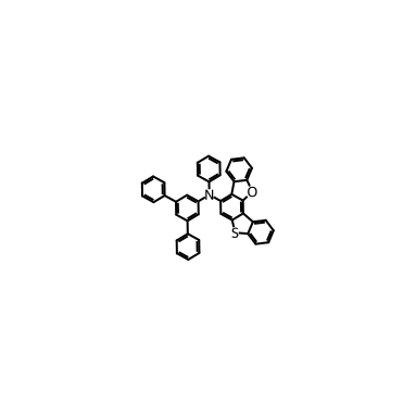 c1ccc(-c2cc(-c3ccccc3)cc(N(c3ccccc3)c3cc4sc5ccccc5c4c4oc5ccccc5c34)c2)cc1